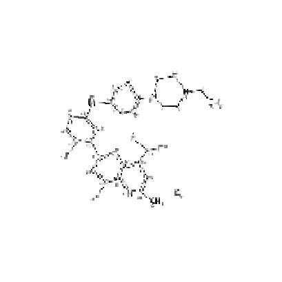 CCN1CCN(c2ccc(Nc3ncc(F)c(-c4cc(F)c5nc(C)cc(C(F)F)c5c4)n3)nc2)CC1.Cl